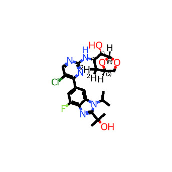 [2H]C1([2H])[C@H]2CO[C@H](O2)[C@@H](O)[C@@H]1Nc1ncc(Cl)c(-c2cc(F)c3nc(C(C)(C)O)n(C(C)C)c3c2)n1